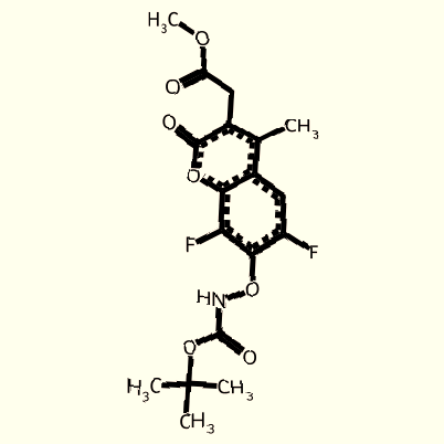 COC(=O)Cc1c(C)c2cc(F)c(ONC(=O)OC(C)(C)C)c(F)c2oc1=O